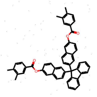 Cc1ccc(C(=O)Oc2ccc3cc(C4(c5ccc6cc(OC(=O)c7ccc(C)c(C)c7)ccc6c5)c5ccccc5-c5ccccc54)ccc3c2)cc1C